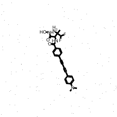 CN(C)c1ccc(C#CC#Cc2ccc(C(=O)NC(C(=O)NO)C(C)(N)C(F)F)cc2)cc1